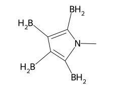 Bc1c(B)c(B)n(C)c1B